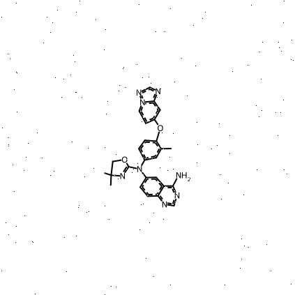 Cc1cc(N(C2=NC(C)(C)CO2)c2ccc3ncnc(N)c3c2)ccc1Oc1ccn2ncnc2c1